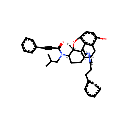 CC(C)CN(C(=O)C#Cc1ccccc1)[C@@H]1CC[C@H]2[C@H]3Cc4c(O)ccc5c4[C@@]2(CCN3CCc2ccccc2)[C@H]1O5